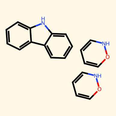 C1=CNOC=C1.C1=CNOC=C1.c1ccc2c(c1)[nH]c1ccccc12